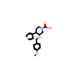 COc1ccc(COC2CN(C(=O)O)CCC2c2ccccc2)cc1